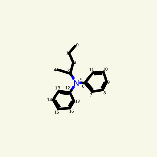 CCCC(C)N(c1ccccc1)c1ccccc1